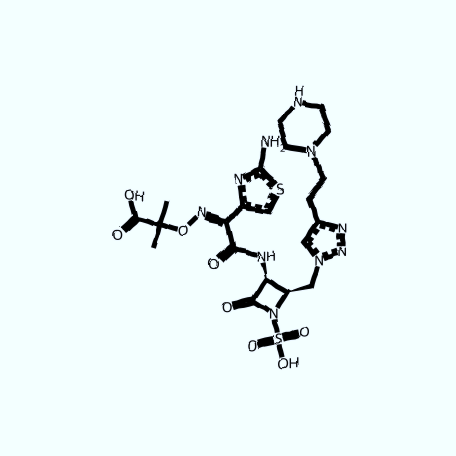 CC(C)(O/N=C(\C(=O)N[C@@H]1C(=O)N(S(=O)(=O)O)[C@@H]1Cn1cc(CCN2CCNCC2)nn1)c1csc(N)n1)C(=O)O